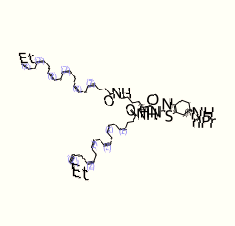 CC/C=C\C/C=C\C/C=C\C/C=C\C/C=C\C/C=C\CCC(=O)NCCCC[C@H](NC(=O)CC/C=C\C/C=C\C/C=C\C/C=C\C/C=C\C/C=C\CC)C(=O)Nc1nc2c(s1)C[C@H](NCCC)CC2